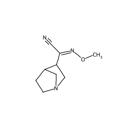 CO/N=C(/C#N)C1CN2CCC1C2